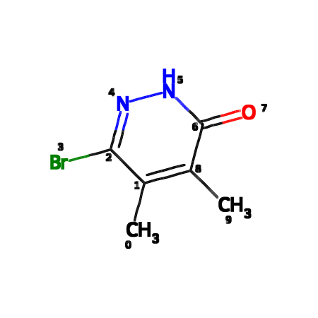 Cc1c(Br)n[nH]c(=O)c1C